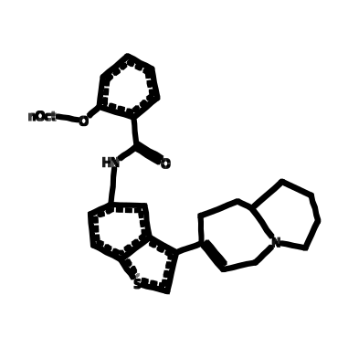 CCCCCCCCOc1ccccc1C(=O)Nc1ccc2scc(C3=CCN4CCCCC4CC3)c2c1